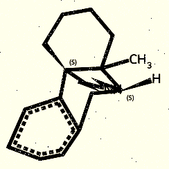 CC12CCCC[C@]13CCNC[C@H]2Cc1ccccc13